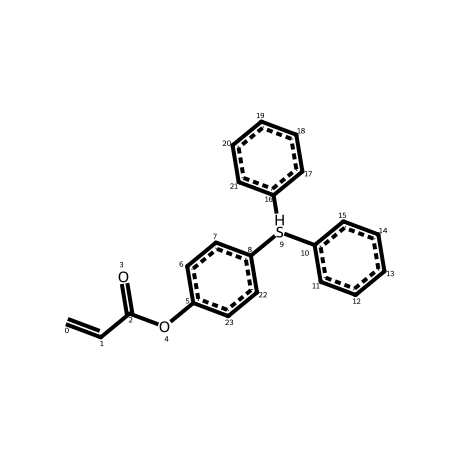 C=CC(=O)Oc1ccc([SH](c2ccccc2)c2ccccc2)cc1